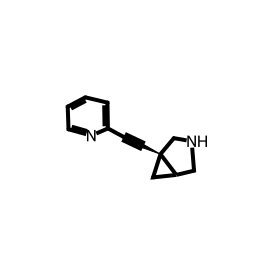 C(#C[C@@]12CNCC1C2)c1ccccn1